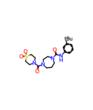 CC(C)(C)c1cccc(NC(=O)N2CCCN(C(=O)N3CCS(=O)(=O)CC3)CC2)c1